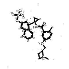 Cc1ccc(OC[C@@H]2CCN2C)cc1C(=O)NC1(c2cc(OS(=O)(=O)C(F)(F)F)cc3ncccc23)CC1